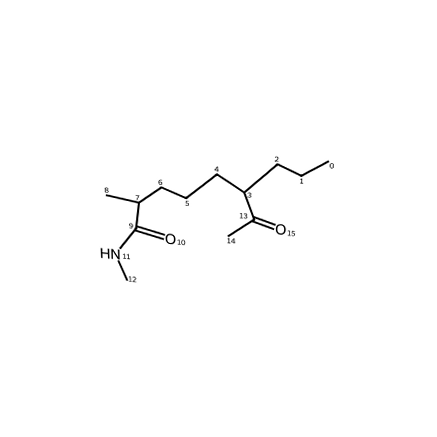 CCCC(CCCC(C)C(=O)NC)C(C)=O